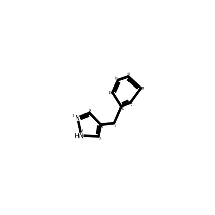 [c]1n[nH]cc1Cc1ccccc1